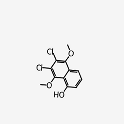 COc1c(Cl)c(Cl)c(OC)c2c(O)cccc12